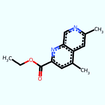 CCOC(=O)c1cc(C)c2cc(C)ncc2n1